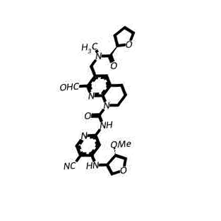 CO[C@@H]1COCC1Nc1cc(NC(=O)N2CCCc3cc(CN(C)C(=O)[C@H]4CCCO4)c(C=O)nc32)ncc1C#N